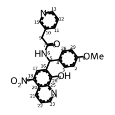 COc1ccc(C(NC(=O)Cc2cccnc2)c2cc([N+](=O)[O-])c3cccnc3c2O)cc1